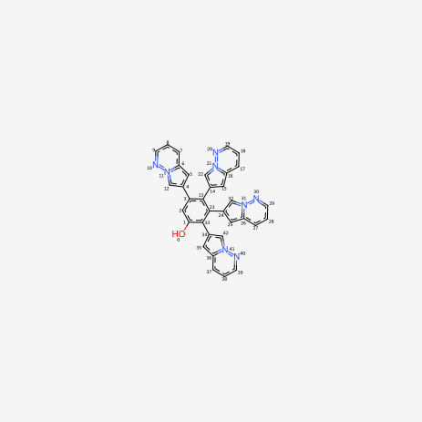 Oc1cc(-c2cc3cccnn3c2)c(-c2cc3cccnn3c2)c(-c2cc3cccnn3c2)c1-c1cc2cccnn2c1